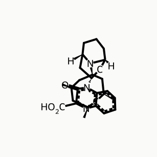 C[C@H]1C[C@@H](C)C[C@@H](N2[C@@H]3CCC[C@H]2C[C@@H](n2c(=O)c(C(=O)O)nc4ccccc42)C3)C[C@@H](C)C1